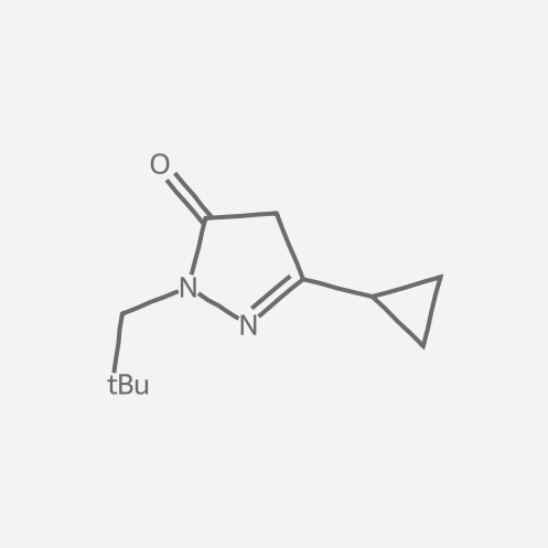 CC(C)(C)CN1N=C(C2CC2)CC1=O